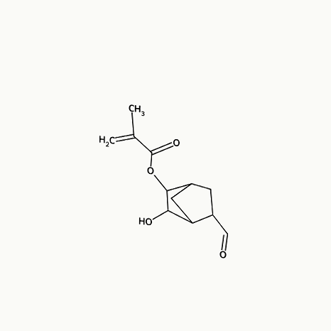 C=C(C)C(=O)OC1C2CC(C=O)C(C2)C1O